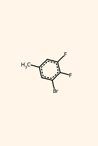 Cc1cc(F)c(F)c(Br)c1